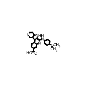 CN(C)c1ccc(Nc2nc3cc(C(=O)O)ccc3c3c2[nH]c2ccncc23)cc1